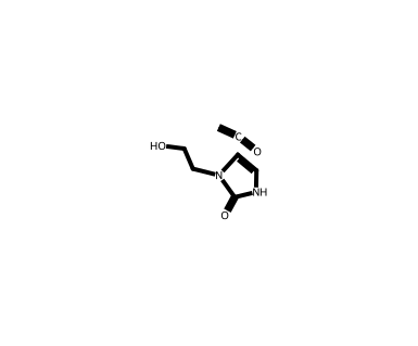 C=C=O.O=c1[nH]ccn1CCO